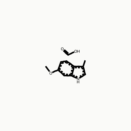 COc1ccc2c(C)c[nH]c2c1.O=CO